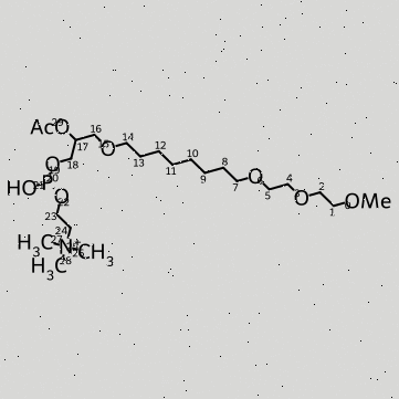 COCCOCCOCCCCCCCCOCC(COP(O)OCC[N+](C)(C)C)OC(C)=O